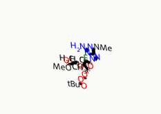 CNc1nc(N)nc2c1ncn2[C@@H]1O[C@H](COCOC(=O)C(C)(C)C)[C@@H](OCC(C)(C)C(=O)OC)[C@@]1(C)F